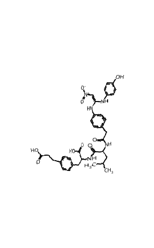 CC(C)CC(NC(=O)Cc1ccc(NC(=C[N+](=O)[O-])Nc2ccc(O)cc2)cc1)C(=O)NC(Cc1ccc(CCC(=O)O)cc1)C(=O)O